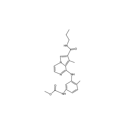 CCCNC(=O)c1cn2ccnc(Nc3cc(NC(=O)OC)ccc3C)c2c1C